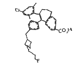 Cc1cc(Cl)cc(C)c1C1=C(c2ccc(CC3CN(CCCF)C3)cc2)c2ccc(C(=O)O)cc2CCC1